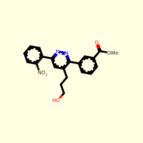 COC(=O)c1cccc(-c2nnc(-c3ccccc3[N+](=O)[O-])cc2CCCO)c1